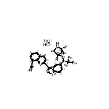 Cl.Cl.N#Cc1cccc2ccc(-c3nnc4ccc([C@@H](N5C[C@@H]6C[C@H]5CN6)C(F)(F)F)cn34)nc12